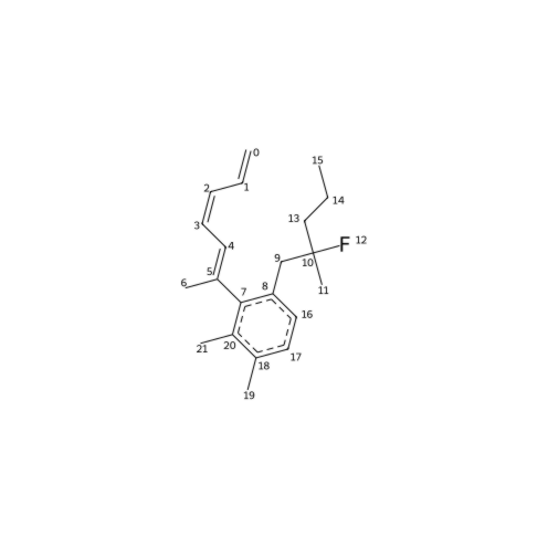 C=C/C=C\C=C(/C)c1c(CC(C)(F)CCC)ccc(C)c1C